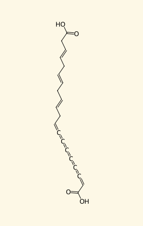 O=C(O)C=C=C=C=C=C=C=CCC=CCC=CCC=CCC(=O)O